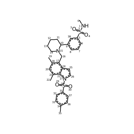 CNS(=O)(=O)c1cccc(C2CCCCN2Cc2c(C)cc(C)c3c2ccn3S(=O)(=O)c2ccc(C)cc2)c1